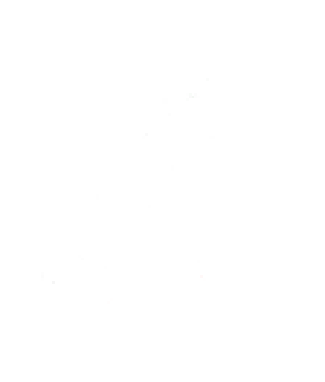 C=c1ccc2c(c1O)Oc1c(ccc(O)c1O)C=2C1CC23C(Cl)C(Cl)C(Cl)C(Cl)C2(CC1C(=O)O)C3(Cl)Cl